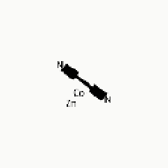 N#CC#N.[Co].[Zn]